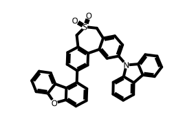 O=S1(=O)Cc2ccc(-c3cccc4oc5ccccc5c34)cc2-c2cc(-n3c4ccccc4c4ccccc43)ccc2C1